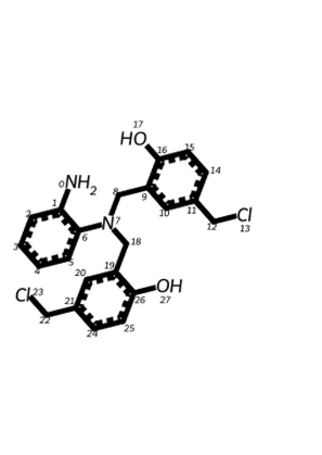 Nc1ccccc1N(Cc1cc(CCl)ccc1O)Cc1cc(CCl)ccc1O